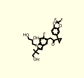 CC(C)(CO)c1cc2cc(CC(=O)C3(c4ccc5c(c4)OC(F)(F)O5)CC3)c(F)cc2n1C[C@@H](O)CO